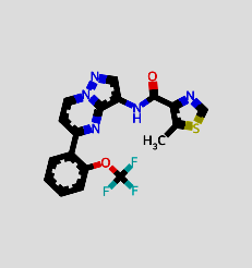 Cc1scnc1C(=O)Nc1cnn2ccc(-c3ccccc3OC(F)(F)F)nc12